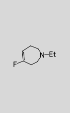 CCN1CCC=C(F)CC1